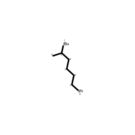 [CH2]C(C)CCCCC(C)C(C)CC